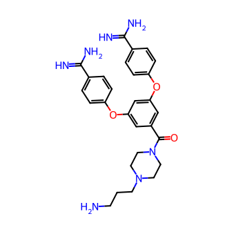 N=C(N)c1ccc(Oc2cc(Oc3ccc(C(=N)N)cc3)cc(C(=O)N3CCN(CCCN)CC3)c2)cc1